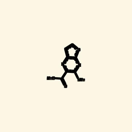 COC(=O)c1nc2ccoc2nc1SC